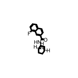 O=C(N[C@@H]1C[C@H]2CC[C@@H]1N2)c1ccc2cccc(F)c2c1